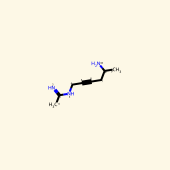 CC(=N)NCC#CCC(C)N